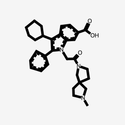 CN1CCC2(CCN(C(=O)Cn3c(-c4ccccc4)c(C4CCCCC4)c4ccc(C(=O)O)cc43)C2)C1